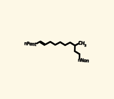 [CH2]CCCCC=CCCCCCC(C)CCCCCCCCCC[CH2]